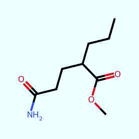 CCCC(CCC(N)=O)C(=O)OC